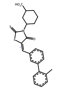 Cc1ccccc1-c1cccc(/C=C2/SC(=S)N(C3CCCC(C(=O)O)C3)C2=O)c1